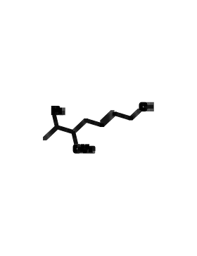 CCC(C)C(C)C(CC=CCO)OC